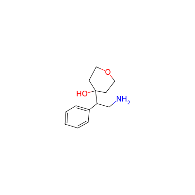 NCC(c1ccccc1)C1(O)CCOCC1